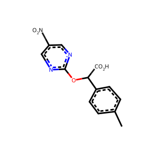 Cc1ccc(C(Oc2ncc([N+](=O)[O-])cn2)C(=O)O)cc1